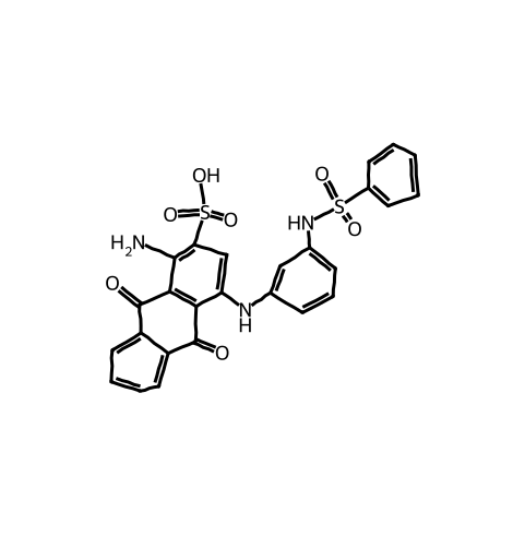 Nc1c(S(=O)(=O)O)cc(Nc2cccc(NS(=O)(=O)c3ccccc3)c2)c2c1C(=O)c1ccccc1C2=O